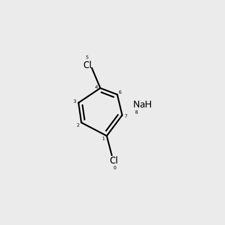 Clc1ccc(Cl)cc1.[NaH]